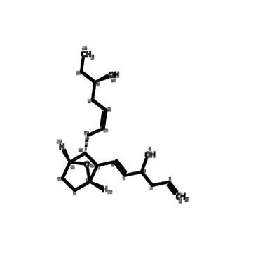 C=CCC(O)/C=C/C1[C@@H]2CC[C@@H](O2)[C@@H]1C/C=C\C[C@H](O)CC